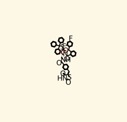 O=C1NC(=O)/C(=C\c2ccc(C(=O)NC[C@@H]3C[C@@H](SC(c4ccccc4)(c4ccccc4)c4ccccc4)CN3C(=O)c3ccccc3C(=O)c3ccc(F)cc3F)cc2)S1